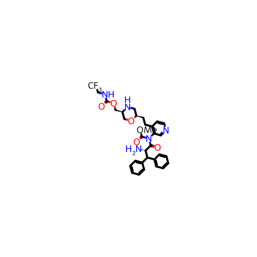 COC(=O)N(C(=O)[C@@H](N)C(c1ccccc1)c1ccccc1)c1cnccc1CC[C@@H]1CN[C@H](COC(=O)NCC(F)(F)F)CO1